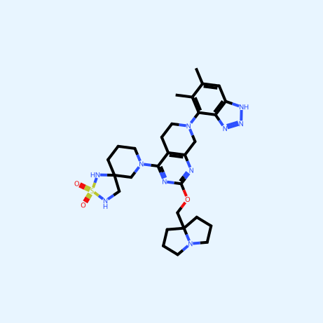 Cc1cc2[nH]nnc2c(N2CCc3c(nc(OCC45CCCN4CCC5)nc3N3CCCC4(CNS(=O)(=O)N4)C3)C2)c1C